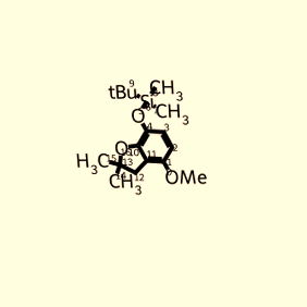 COc1ccc(O[Si](C)(C)C(C)(C)C)c2c1CC(C)(C)O2